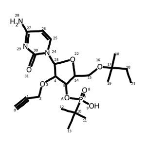 C#CCOC1C(OP(=O)(O)C(C)(C)C)C(COC(C)(C)CC)OC1n1ccc(N)nc1=O